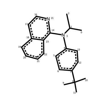 CC(C)N(c1ccc(C(C)(C)C)cc1)c1nccc2ccccc12